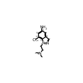 CN(C)CCn1ncc2cc(N)cc(Cl)c21